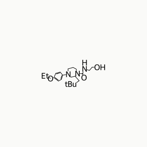 CCOc1ccc(N2CCCN(C(=O)NCCO)C(CC(C)(C)C)C2)cc1